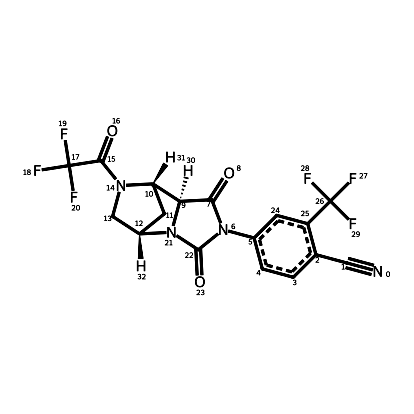 N#Cc1ccc(N2C(=O)[C@@H]3[C@@H]4C[C@@H](CN4C(=O)C(F)(F)F)N3C2=O)cc1C(F)(F)F